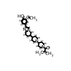 COc1cc(-c2cn3c(n2)CCC(C2CCN(C4CCN(C(=O)C(C)C)CC4)CC2)C3)ccc1O